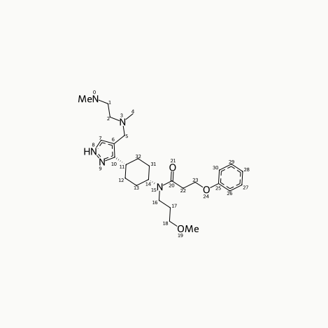 CNCCN(C)Cc1c[nH]nc1[C@H]1CC[C@@H](N(CCCOC)C(=O)CCOc2ccccc2)CC1